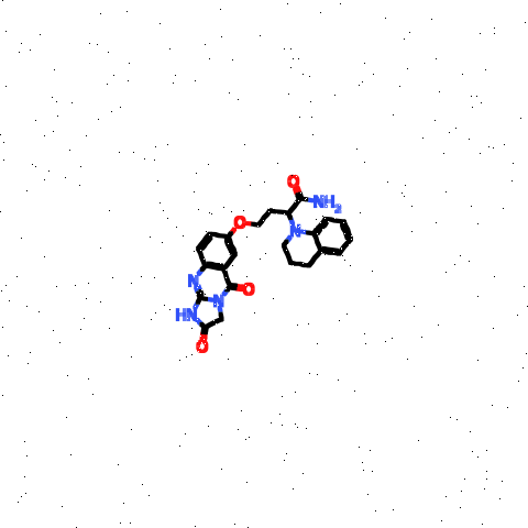 NC(=O)C(CCOc1ccc2nc3n(c(=O)c2c1)CC(=O)N3)N1CCCc2ccccc21